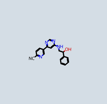 N#Cc1ccc(-c2cc(NCC(O)c3ccccc3)ncn2)cn1